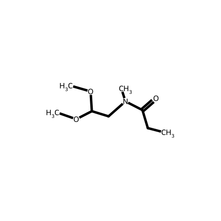 CCC(=O)N(C)CC(OC)OC